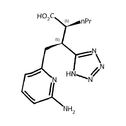 CCC[C@H](C(=O)O)[C@H](Cc1cccc(N)n1)c1nnn[nH]1